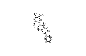 CC1COc2cc(F)c(C(F)(F)F)cc2N1C(=O)N1CCN(c2ncccn2)CC1